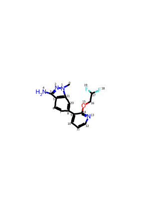 Cn1nc(N)c2ccc(-c3cccnc3OCC(F)F)cc21